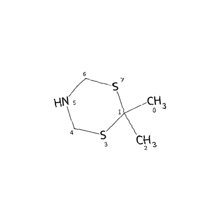 CC1(C)SCNCS1